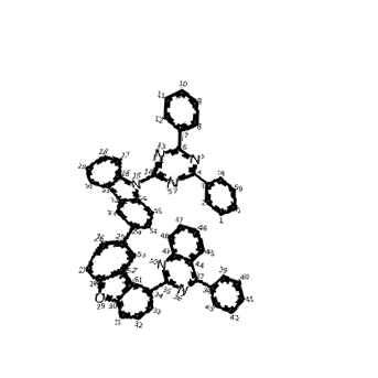 c1ccc(-c2nc(-c3ccccc3)nc(-n3c4ccccc4c4cc(-c5ccc6oc7cccc(-c8nc(-c9ccccc9)c9ccccc9n8)c7c6c5)ccc43)n2)cc1